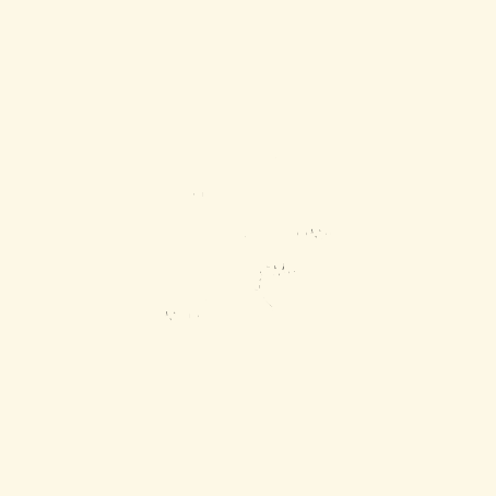 COC1=C(c2ccccc2P(c2ccccc2OC)c2ccccc2S(=O)(=O)O)[C@@H](OC)CC=C1